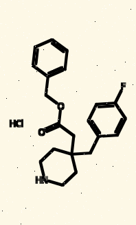 Cl.O=C(CC1(Cc2ccc(F)cc2)CCNCC1)OCc1ccccc1